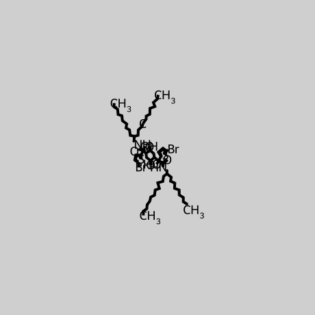 CCCCCCCCCCCCC(CCCCCCCCCC)CNC(=O)C(O)(c1ccc(Br)s1)C1CC(=O)C(C(O)(C(=O)NCC(CCCCCCCCCC)CCCCCCCCCCCC)c2ccc(Br)s2)CC1=O